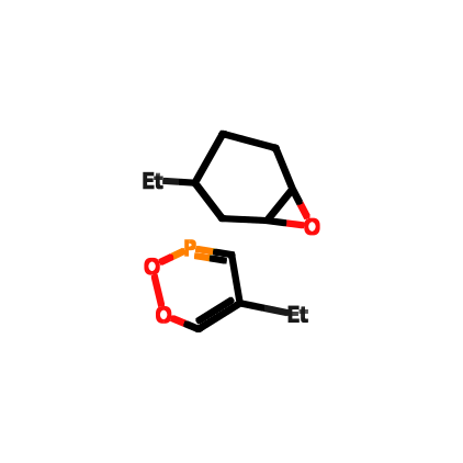 CCC1=COOP=C1.CCC1CCC2OC2C1